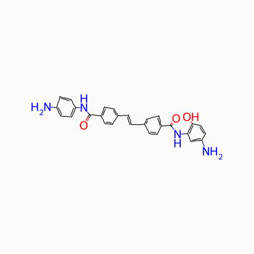 Nc1ccc(NC(=O)c2ccc(C=Cc3ccc(C(=O)Nc4cc(N)ccc4O)cc3)cc2)cc1